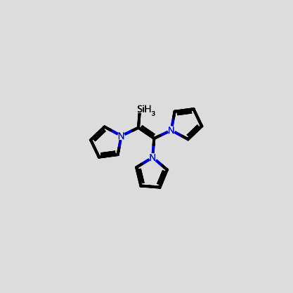 [SiH3]C(=C(n1cccc1)n1cccc1)n1cccc1